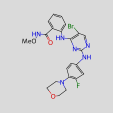 CONC(=O)c1ccccc1Nc1nc(Nc2ccc(N3CCOCC3)c(F)c2)ncc1Br